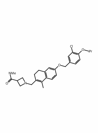 CNC(=O)C1CN(CC2=C(C)c3ccc(OCc4ccc(OC(C)C)c(Cl)c4)cc3CC2)C1